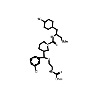 CNCC(CC1CCC(O)CC1)NC(=O)N1CCCC(C(OCCNC(=O)OC)c2cccc(Cl)c2)C1